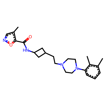 Cc1cnoc1C(=O)NC1CC(CCN2CCN(c3cccc(C)c3C)CC2)C1